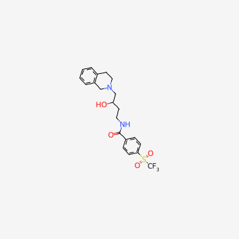 O=C(NCCC(O)CN1CCc2ccccc2C1)c1ccc(S(=O)(=O)C(F)(F)F)cc1